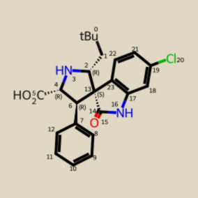 CC(C)(C)C[C@H]1N[C@@H](C(=O)O)[C@H](c2ccccc2)[C@@]12C(=O)Nc1cc(Cl)ccc12